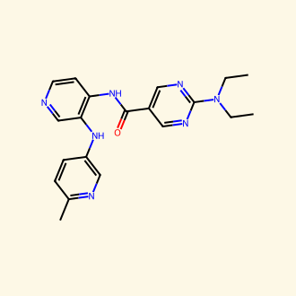 CCN(CC)c1ncc(C(=O)Nc2ccncc2Nc2ccc(C)nc2)cn1